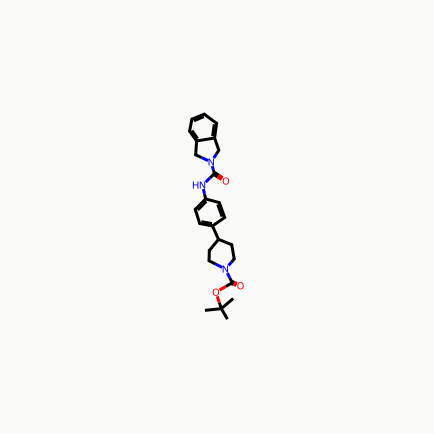 CC(C)(C)OC(=O)N1CCC(c2ccc(NC(=O)N3Cc4ccccc4C3)cc2)CC1